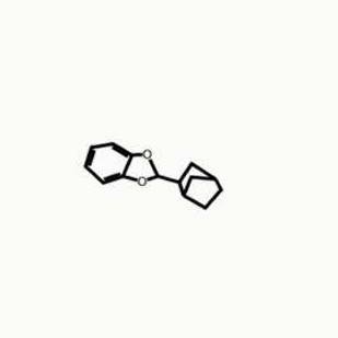 c1ccc2c(c1)OC(C1CC3CCC1C3)O2